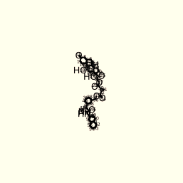 C[C@@H]1C[C@H]2[C@@H]3CCC4=CC(=O)C=C[C@]4(C)[C@@]3(F)[C@@H](O)C[C@]2(C)[C@@]1(O)C(=O)COC(=O)C1CC1C(=O)OCc1cccc([C@@H](CN)C(=O)Nc2ccc3ccccc3c2)c1